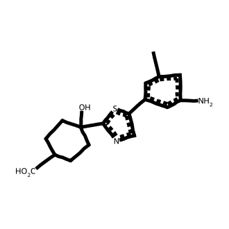 Cc1cc(N)cc(-c2cnc(C3(O)CCC(C(=O)O)CC3)s2)c1